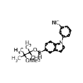 COC(C)(C)C(C)(C)OBc1ccc2c(ccn2-c2cccc(C#N)c2)c1